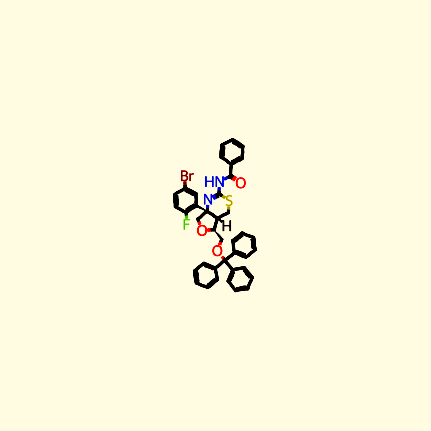 O=C(NC1=N[C@@]2(c3cc(Br)ccc3F)CO[C@H](COC(c3ccccc3)(c3ccccc3)c3ccccc3)[C@H]2CS1)c1ccccc1